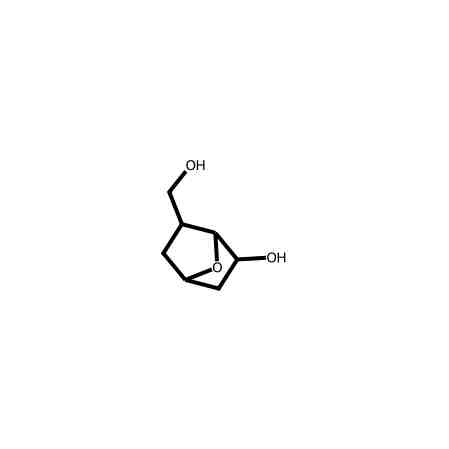 OCC1CC2CC(O)C1O2